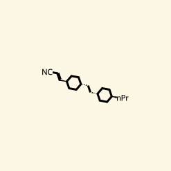 CCC[C@H]1CC[C@H](CC[C@H]2CC[C@H](C=CC#N)CC2)CC1